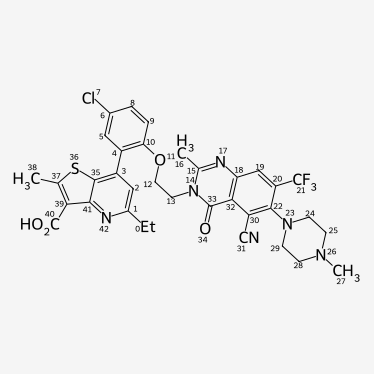 CCc1cc(-c2cc(Cl)ccc2OCCn2c(C)nc3cc(C(F)(F)F)c(N4CCN(C)CC4)c(C#N)c3c2=O)c2sc(C)c(C(=O)O)c2n1